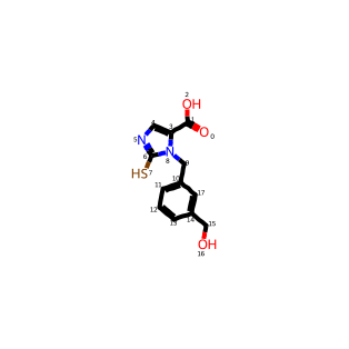 O=C(O)c1cnc(S)n1Cc1cccc(CO)c1